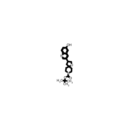 CC(C)(C)OC(=O)N1CCC2(CC1)CC(c1cnc3ccc(O)cc3c1)CO2